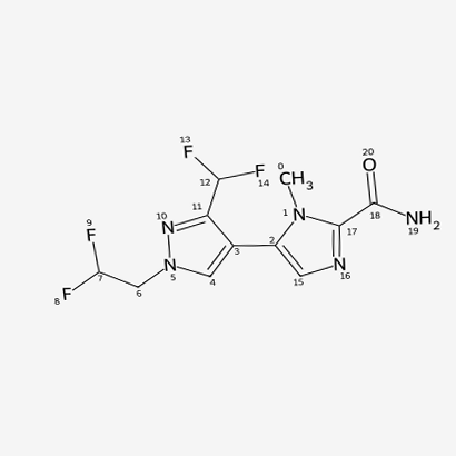 Cn1c(-c2cn(CC(F)F)nc2C(F)F)cnc1C(N)=O